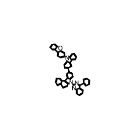 c1ccc(-c2nc(-n3c4ccc(-c5ccc6c(c5)c5ccccc5n6-c5ccc6c(c5)oc5ccccc56)cc4c4c5ccccc5ccc43)nc3ccccc23)cc1